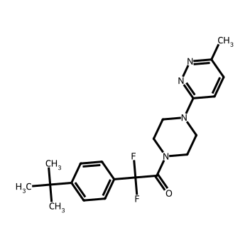 Cc1ccc(N2CCN(C(=O)C(F)(F)c3ccc(C(C)(C)C)cc3)CC2)nn1